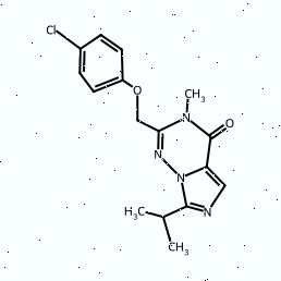 CC(C)c1ncc2c(=O)n(C)c(COc3ccc(Cl)cc3)nn12